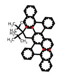 CC(C)(C)C1(C(C)(C)C)C=Cc2c(c(-c3ccccc3-c3cccc4ccccc34)c3ccccc3c2-c2ccccc2-c2cccc3ccccc23)C1